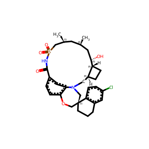 C[C@@H]1C[C@H](C)CS(=O)(=O)NC(=O)c2ccc3c(c2)N(C[C@@H]2CC[C@H]2[C@@H](O)C1)C[C@@]1(CCCc2cc(Cl)ccc21)CO3